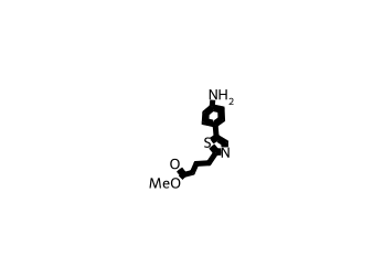 COC(=O)CCCc1ncc(-c2ccc(N)cc2)s1